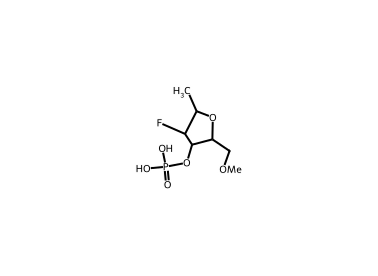 COCC1OC(C)C(F)C1OP(=O)(O)O